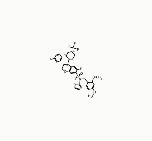 COc1ccc(CN(c2nccs2)S(=O)(=O)c2cc3c(cc2F)[C@H](N2CC[C@@H](C(F)(F)F)C[C@H]2c2ccc(F)cc2)CCO3)c(OC)c1